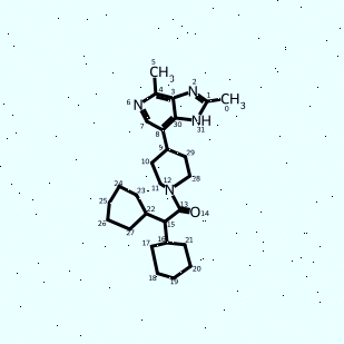 Cc1nc2c(C)ncc(C3CCN(C(=O)C(C4CCCCC4)C4CCCCC4)CC3)c2[nH]1